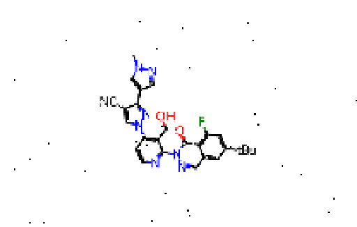 Cn1cc(-c2nn(-c3ccnc(-n4ncc5cc(C(C)(C)C)cc(F)c5c4=O)c3CO)cc2C#N)cn1